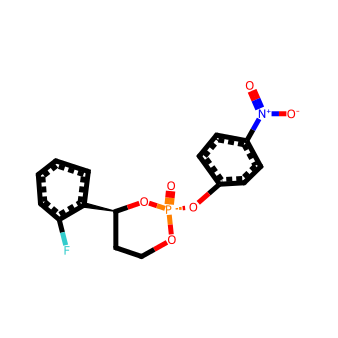 O=[N+]([O-])c1ccc(O[P@]2(=O)OCC[C@@H](c3ccccc3F)O2)cc1